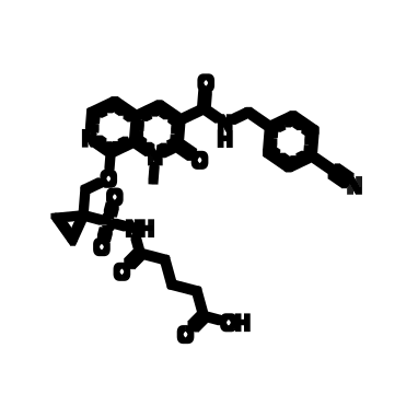 Cn1c(=O)c(C(=O)NCc2ccc(C#N)cc2)cc2ccnc(OCC3(S(=O)(=O)NC(=O)CCCC(=O)O)CC3)c21